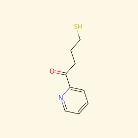 O=C(CCCS)c1ccccn1